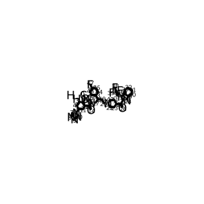 COc1ccc(-n2cnnn2)cc1C(=O)N(C)CC(CCN1CCC(C(=O)c2nc3ccccc3n2CC(F)(F)F)CC1)c1ccc(F)cc1